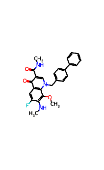 CNC(=O)c1cn(Cc2ccc(-c3ccccc3)cc2)c2c(OC)c(NC)c(F)cc2c1=O